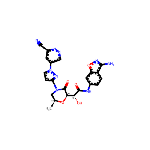 C[C@H]1CN(c2ccn(-c3cnnc(C#N)c3)n2)C(=O)[C@@H]([C@@H](O)C(=O)Nc2ccc3c(N)noc3c2)O1